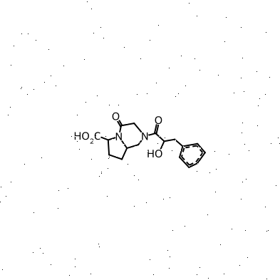 O=C(O)C1CCC2CN(C(=O)C(O)Cc3ccccc3)CC(=O)N21